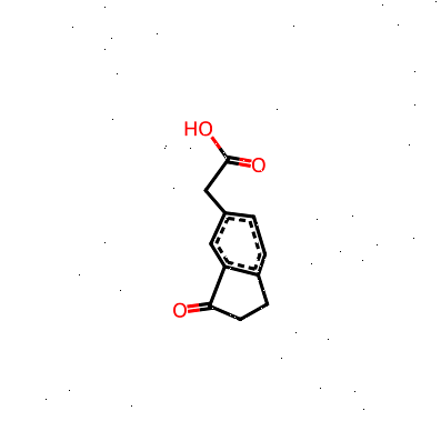 O=C(O)Cc1ccc2c(c1)C(=O)CC2